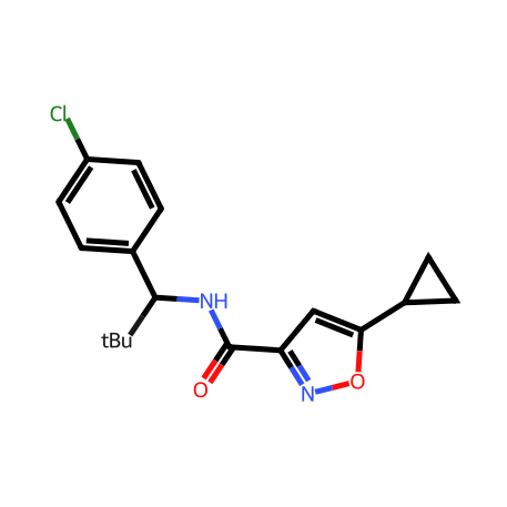 CC(C)(C)C(NC(=O)c1cc(C2CC2)on1)c1ccc(Cl)cc1